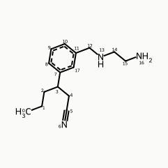 CCCC(CC#N)c1cccc(CNCCN)c1